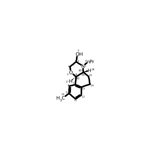 CCCN1C(O)CO[C@@H]2c3cc(C)ccc3CC[C@H]21